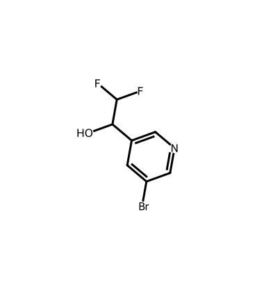 OC(c1cncc(Br)c1)C(F)F